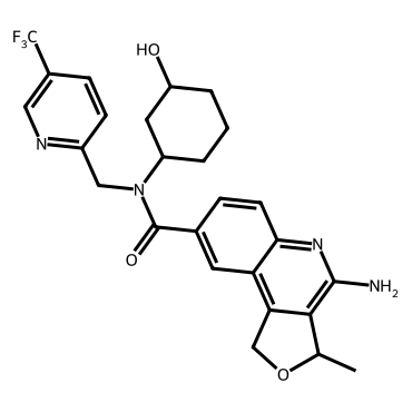 CC1OCc2c1c(N)nc1ccc(C(=O)N(Cc3ccc(C(F)(F)F)cn3)C3CCCC(O)C3)cc21